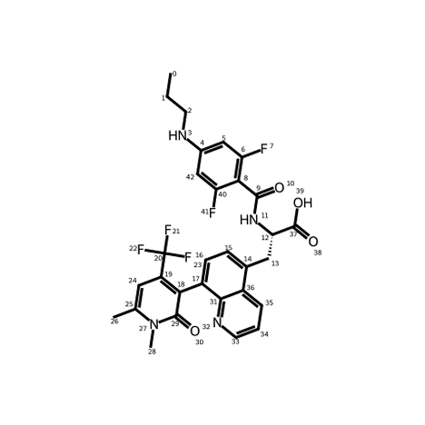 CCCNc1cc(F)c(C(=O)N[C@@H](Cc2ccc(-c3c(C(F)(F)F)cc(C)n(C)c3=O)c3ncccc23)C(=O)O)c(F)c1